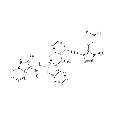 CCN(CC)CCc1c(C#Cc2cccc3nc([C@H](C)NC(=O)c4c(N)nn5cccnc45)n(-c4ccccc4)c(=O)c23)cnn1C